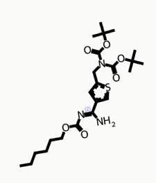 CCCCCCOC(=O)/N=C(\N)c1csc(CN(C(=O)OC(C)(C)C)C(=O)OC(C)(C)C)c1